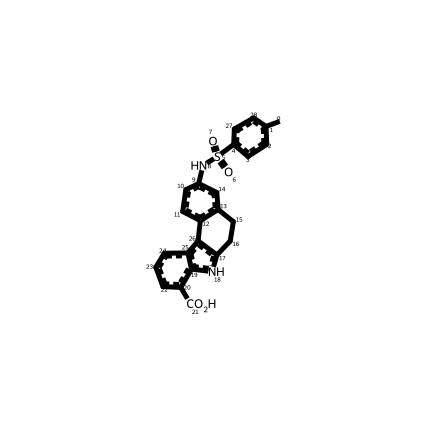 Cc1ccc(S(=O)(=O)Nc2ccc3c(c2)CCc2[nH]c4c(C(=O)O)cccc4c2-3)cc1